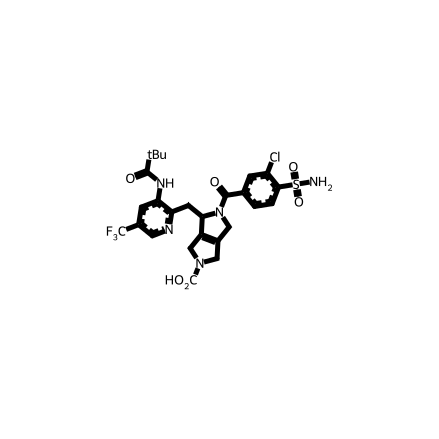 CC(C)(C)C(=O)Nc1cc(C(F)(F)F)cnc1[CH]C1C2=C(CN(C(=O)O)C2)CN1C(=O)c1ccc(S(N)(=O)=O)c(Cl)c1